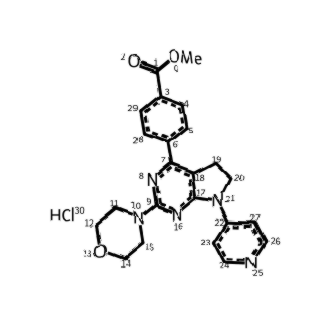 COC(=O)c1ccc(-c2nc(N3CCOCC3)nc3c2CCN3c2ccncc2)cc1.Cl